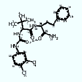 CC(C)(C)C(NC(=O)Nc1ccc(Cl)c(Cl)c1)C(=O)NC(CCc1ccccc1)C(N)=O